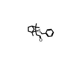 CC12CCC(C1)C(C)(C)C2(CC=O)SCc1ccccc1